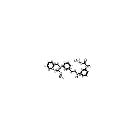 CN(C(=O)OC(C)(C)C)c1cccc(NCCc2cccc(N(Cc3ccccn3)C(=O)OC(C)(C)C)n2)n1